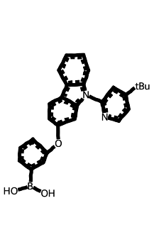 CC(C)(C)c1ccnc(-n2c3ccccc3c3ccc(Oc4cccc(B(O)O)c4)cc32)c1